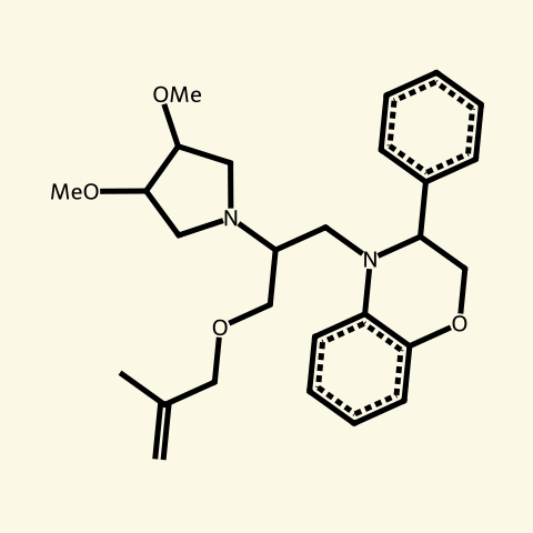 C=C(C)COCC(CN1c2ccccc2OCC1c1ccccc1)N1CC(OC)C(OC)C1